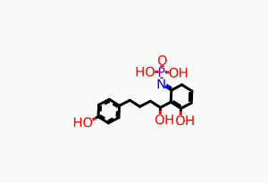 O=P(O)(O)N=C1CC=CC(O)=C1C(O)CCCc1ccc(O)cc1